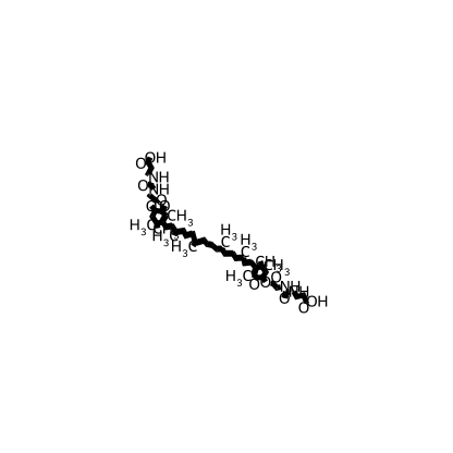 CC1=C(/C=C/C(C)=C/C=C/C(C)=C/C=C/C=C(C)/C=C/C=C(C)/C=C/C2=C(C)C(=O)C(OC(=O)CNC(=O)NCCC(=O)O)CC2(C)C)C(C)(C)CC(OC(=O)CNC(=O)NCCC(=O)O)C1=O